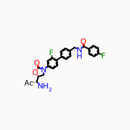 CC(=O)[C@@H](N)C1CN(c2ccc(-c3ccc(CNC(=O)c4ccc(F)cc4)cc3)c(F)c2)C(=O)O1